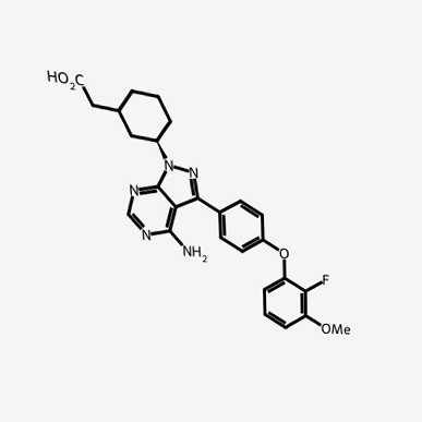 COc1cccc(Oc2ccc(-c3nn([C@@H]4CCCC(CC(=O)O)C4)c4ncnc(N)c34)cc2)c1F